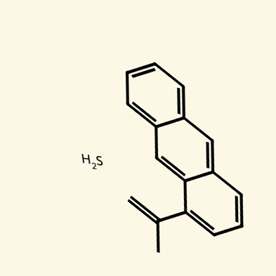 C=C(C)c1cccc2cc3ccccc3cc12.S